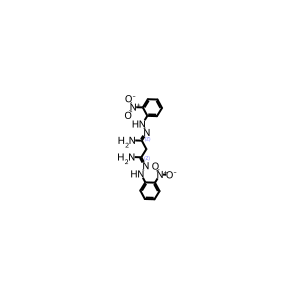 N/C(C/C(N)=N/Nc1ccccc1[N+](=O)[O-])=N\Nc1ccccc1[N+](=O)[O-]